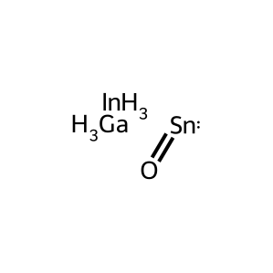 [GaH3].[InH3].[O]=[Sn]